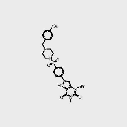 CCCn1c(=O)n(C)c(=O)c2[nH]c(-c3ccc(S(=O)(=O)N4CCN(Cc5ccc(C(C)(C)C)cc5)CC4)cc3)cc21